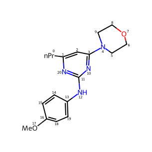 CCCc1cc(N2CCOCC2)nc(Nc2ccc(OC)cc2)n1